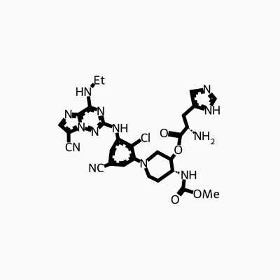 CCNc1nc(Nc2cc(C#N)cc(N3CC[C@@H](NC(=O)OC)C(OC(=O)[C@@H](N)Cc4cnc[nH]4)C3)c2Cl)nn2c(C#N)cnc12